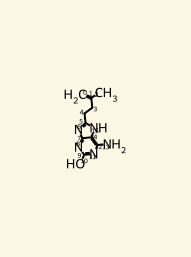 C=C(C)CCc1nc2nc(O)nc(N)c2[nH]1